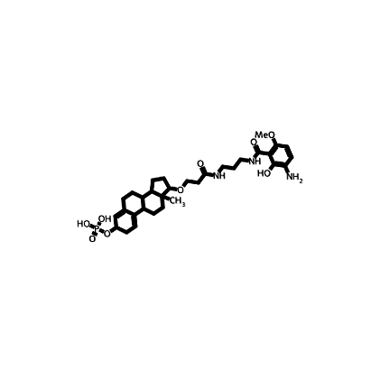 COc1ccc(N)c(O)c1C(=O)NCCCNC(=O)CCOC1CCC2C3CCC4=CC(OP(=O)(O)O)CC=C4C3CCC12C